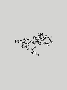 CCCN(CCC(C)(C)C)S(=O)(=O)N(C)c1ccccc1